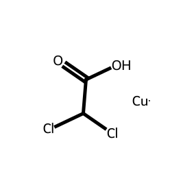 O=C(O)C(Cl)Cl.[Cu]